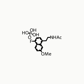 COc1ccc2c(F)ccc(CCNC(C)=O)c2c1.O=P(O)(O)O